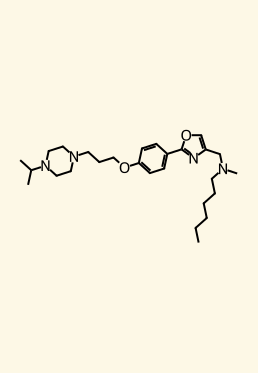 CCCCCCN(C)Cc1coc(-c2ccc(OCCCN3CCN(C(C)C)CC3)cc2)n1